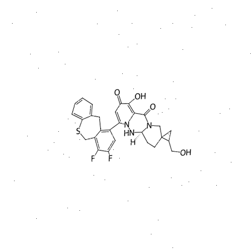 O=C1c2c(O)c(=O)cc(-c3cc(F)c(F)c4c3Cc3ccccc3SC4)n2N[C@@H]2CCC3(CC3CO)CN12